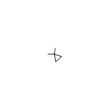 CCC1(CC)CC1.S